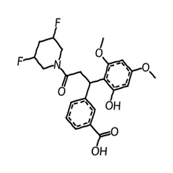 COc1cc(O)c(C(CC(=O)N2CC(F)CC(F)C2)c2cccc(C(=O)O)c2)c(OC)c1